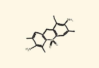 Cc1cc2c(c(C)c1N)Cc1cc(C)c(N)c(C)c1S2(=O)=O